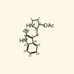 CC(=O)OC1CCNC1Cc1c(Br)[nH]c2ccccc12